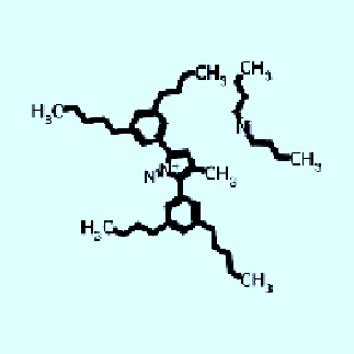 CCCCCc1cc(CCCC)cc(C2=CC(C)=C(c3cc(CCCC)cc(CCCCC)c3)[N+]2=[N-])c1.CCC[CH2][Ni][CH2]CCC